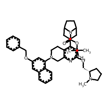 CN1CCC[C@H]1COc1nc2c(c(C3CC4CCC(C3)N4C(=O)OC(C)(C)C)n1)CCN(c1cc(OCc3ccccc3)cc3ccccc13)C2